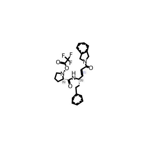 O=C(N[C@H](/C=C/C(=O)N1Cc2ccccc2C1)CCc1ccccc1)[C@@H]1CCCN1OC(=O)C(F)(F)F